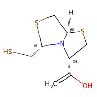 C=C(O)[C@H]1CS[C@@H]2CS[C@@H](CS)N12